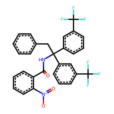 O=C(NC(Cc1ccccc1)(c1cccc(C(F)(F)F)c1)c1cccc(C(F)(F)F)c1)c1ccccc1[N+](=O)[O-]